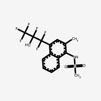 Cc1cc(C(F)(F)C(O)(F)C(F)(F)F)c2ccccc2c1NS(C)(=O)=O